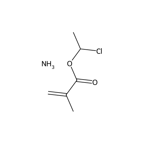 C=C(C)C(=O)OC(C)Cl.N